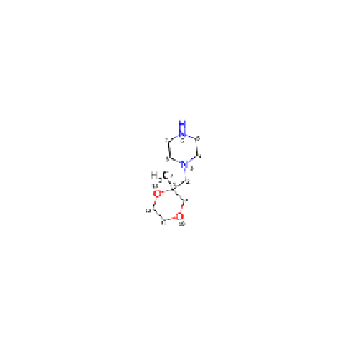 CC1(CN2CCNCC2)COCCO1